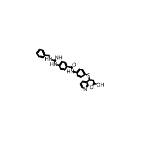 N=C(NCc1ccccc1)Nc1ccc(C(=O)Nc2ccc(SC(CC(=O)O)c3cccnc3)cc2)cc1